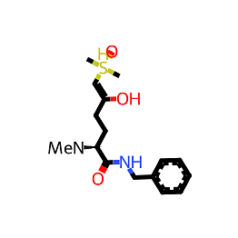 CN[C@@H](CC/C(O)=C/[SH](C)(C)=O)C(=O)NCc1ccccc1